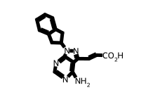 Nc1ncnc2c1c(C=CC(=O)O)nn2C1Cc2ccccc2C1